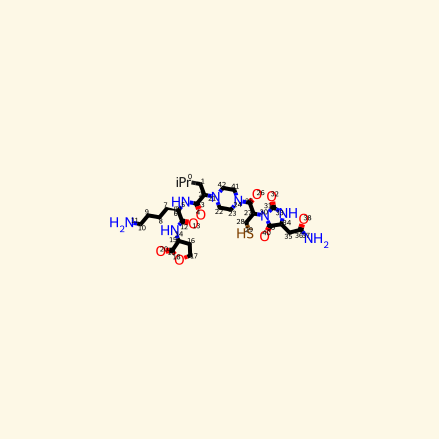 CC(C)CC(C(=O)N[C@H](CCCCN)C(=O)NC1CCOC1=O)N1CCN(C(=O)C(CS)N2C(=O)NC(CC(N)=O)C2=O)CC1